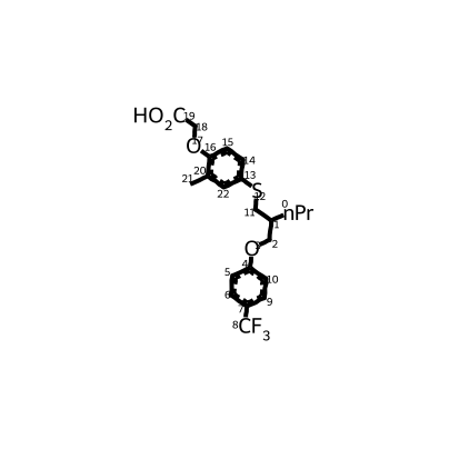 CCCC(COc1ccc(C(F)(F)F)cc1)CSc1ccc(OCC(=O)O)c(C)c1